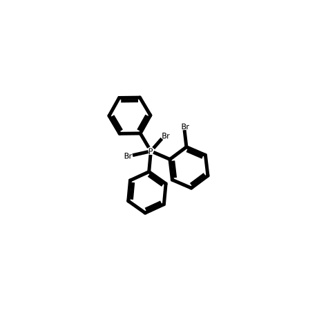 Brc1ccccc1P(Br)(Br)(c1ccccc1)c1ccccc1